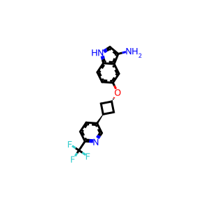 Nc1c[nH]c2ccc(O[C@H]3C[C@H](c4ccc(C(F)(F)F)nc4)C3)cc12